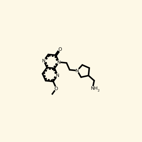 COc1ccc2ncc(=O)n(CCN3CCC(CN)C3)c2n1